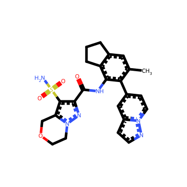 Cc1cc2c(c(NC(=O)c3nn4c(c3S(N)(=O)=O)COCC4)c1-c1ccn3nccc3c1)CCC2